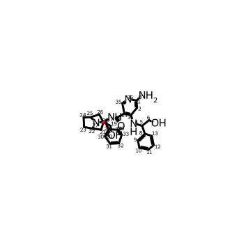 Nc1cc(NC(CO)c2ccccc2)c(C(=O)NC2(CO)CC3CCC(C2)N3Cc2ccccc2)cn1